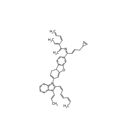 C=C/C=C\C(=C/C)C(=C)/N=C(/C=C/CC1C=C1)c1ccc2c(c1)OC1=CC(n3c(\C=C/C=C\C=C/C)c(/C=C/C)c4ccccc43)=CCC12